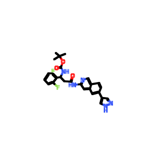 CC(C)(C)OC(=O)NC(CC(=O)Nc1cc2cc(-c3cn[nH]c3)ccc2cn1)c1c(F)cccc1F